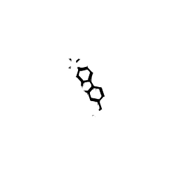 [CH3][Sn]([CH3])([CH3])[c]1ccc2c(c1)oc1cc(CO)ccc12